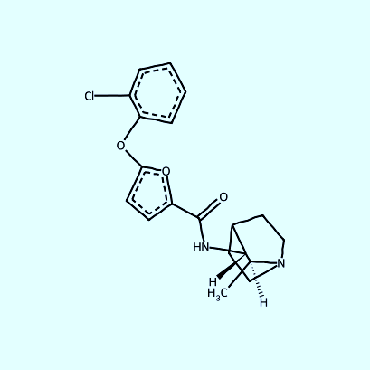 C[C@H]1[C@H](NC(=O)c2ccc(Oc3ccccc3Cl)o2)C2CCN1CC2